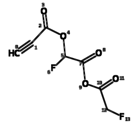 C#CC(=O)OC(F)C(=O)OC(=O)CF